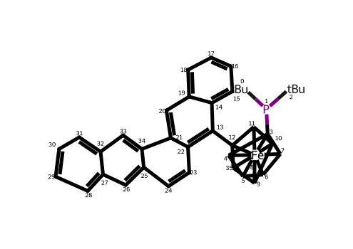 CC(C)(C)P(C(C)(C)C)[C]12[CH]3[CH]4[CH]5[CH]1[Fe]45321678[CH]2[CH]1[CH]6[C]7(c1c3ccccc3cc3c1ccc1cc4ccccc4cc13)[CH]28